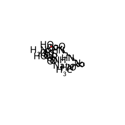 CNOCc1cc2ccccc2n1CCCNCCCCCNC(=O)c1ccc(C(=O)O)c(-c2c3ccc(=N)c(S(=O)(=O)[O-])c-3oc3c(S(=O)(=O)O)c(N)ccc23)c1.[Na+]